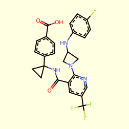 O=C(O)c1ccc(C2(NC(=O)c3cc(C(F)(F)F)cnc3N3CC(Nc4ccc(F)cc4)C3)CC2)cc1